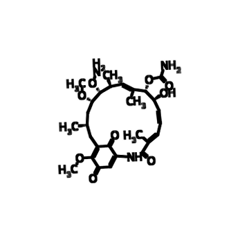 COC1=C2C[C@@H](C)C[C@H](OC)[C@H](ON)[C@@H](C)/C=C(\C)[C@H](OC(N)=O)[C@@H](O)/C=C\C=C(/C)C(=O)NC(=CC1=O)C2=O